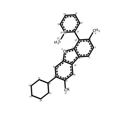 Cc1ccc2c(oc3cc(C4CCCCC4)c(C#N)cc32)c1-c1cccc[n+]1C